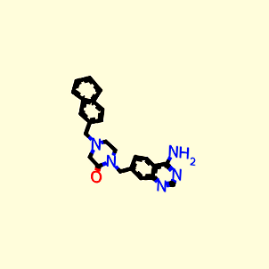 Nc1ncnc2cc(CN3CCN(Cc4ccc5ccccc5c4)CC3=O)ccc12